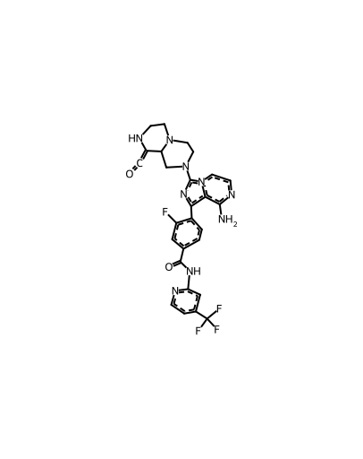 Nc1nccn2c(N3CCN4CCNC(=C=O)C4C3)nc(-c3ccc(C(=O)Nc4cc(C(F)(F)F)ccn4)cc3F)c12